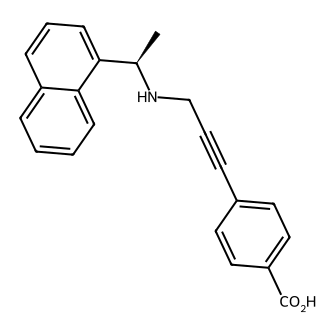 C[C@@H](NCC#Cc1ccc(C(=O)O)cc1)c1cccc2ccccc12